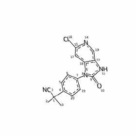 CC(C)(C#N)c1ccc(-n2c(=O)[nH]c3cnc(Cl)cc32)cc1